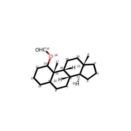 C[C@@]12CCC[C@H]1[C@@H]1CCC3CCCC(OC=O)[C@]3(C)[C@@H]1CC2